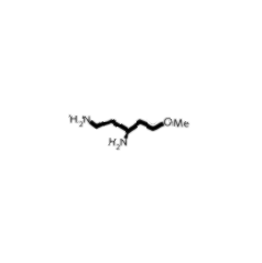 COCC[C@@H](N)CCN